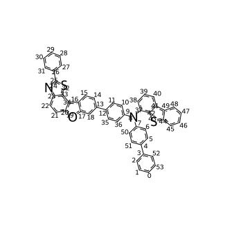 c1ccc(-c2ccc(N(c3ccc(-c4ccc5c(c4)oc4ccc6nc(-c7ccccc7)sc6c45)cc3)c3cccc4c3sc3ccccc34)cc2)cc1